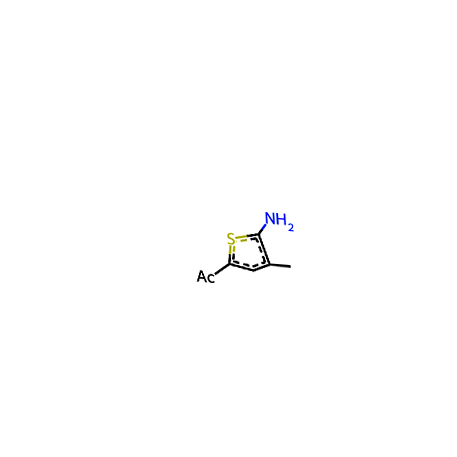 CC(=O)c1cc(C)c(N)s1